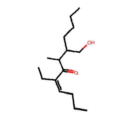 CCCC=C(CC)C(=O)C(C)C(CO)CCCC